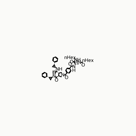 CCCCCCNC(=O)[C@H](CNC(=O)CCCCCC)NC(=O)c1ccc(C(=O)N2C[C@@H](C(=O)N[C@H]3C[C@@H]3c3ccccc3)[C@H](C(=O)N[C@H]3C[C@@H]3c3ccccc3)C2)cc1